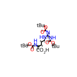 CC(C)(C)OC(=O)/N=C(\NCCC[C@H](NC(=O)OC(C)(C)C)C(=O)O)NC(=O)OC(C)(C)C